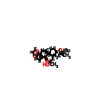 CC1(O)CC2C[C@@H](O[Si](C)(C)C(C)(C)C)CC[C@]2(C)C2CC[C@@]3(C)C(CCC34OCCO4)C2O1